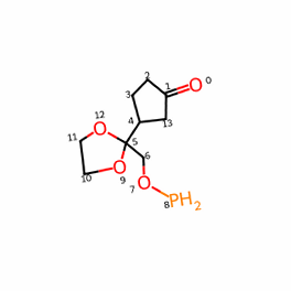 O=C1CCC(C2(COP)OCCO2)C1